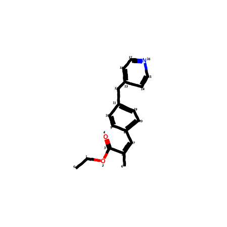 CCOC(=O)C(C)=Cc1ccc(Cc2ccncc2)cc1